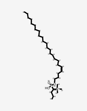 CCCCCCCCCCCCCCCCCCC/C=C\CCCOP(=O)(O)C(CCC)[N+](C)(C)C